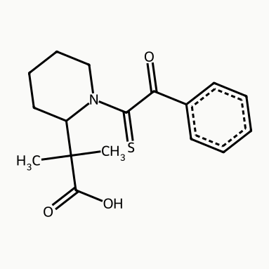 CC(C)(C(=O)O)C1CCCCN1C(=S)C(=O)c1ccccc1